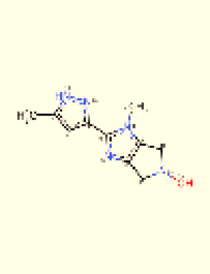 Cc1cc(-c2nc3c(n2C)CN(O)C3)n[nH]1